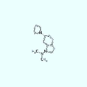 CN(C)n1ccc2ccc(-n3cccc3)cc21